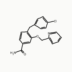 NC(=O)c1ccc(Cc2ccc(Cl)cc2)c(OCc2ccccn2)c1